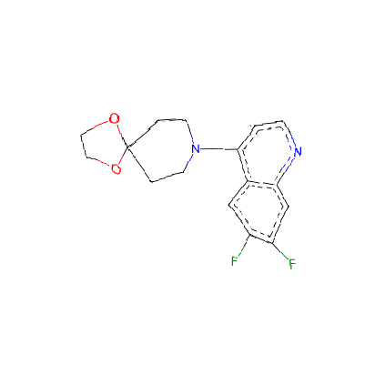 Fc1cc2nc[c]c(N3CCC4(CC3)OCCO4)c2cc1F